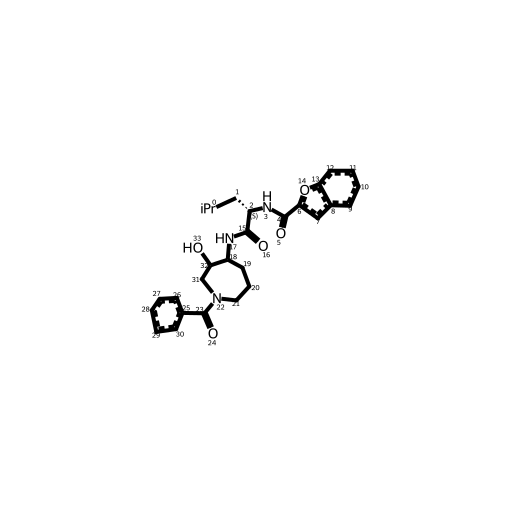 CC(C)C[C@H](NC(=O)c1cc2ccccc2o1)C(=O)NC1CCCN(C(=O)c2ccccc2)CC1O